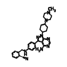 CN1CCN(C2CCC(n3nc(-c4ccc(NCc5ccccc5C#N)cc4)c4c(N)ncnc43)CC2)CC1